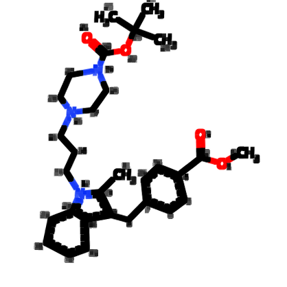 COC(=O)c1ccc(Cc2c(C)n(CCCN3CCN(C(=O)OC(C)(C)C)CC3)c3ccccc23)cc1